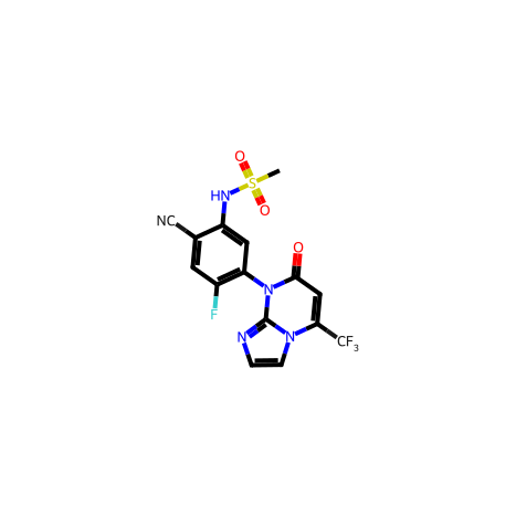 CS(=O)(=O)Nc1cc(-n2c(=O)cc(C(F)(F)F)n3ccnc23)c(F)cc1C#N